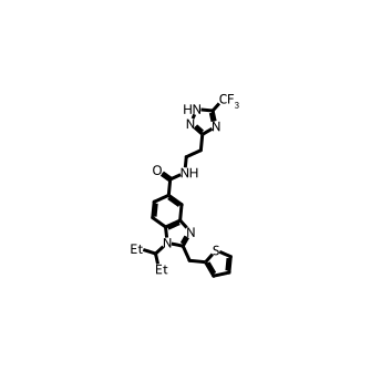 CCC(CC)n1c(Cc2cccs2)nc2cc(C(=O)NCCc3n[nH]c(C(F)(F)F)n3)ccc21